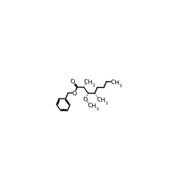 CCCC[C@H](C)[C@H](OC)[C@@H](C)C(=O)OCc1ccccc1